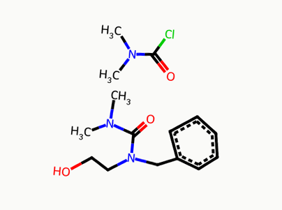 CN(C)C(=O)Cl.CN(C)C(=O)N(CCO)Cc1ccccc1